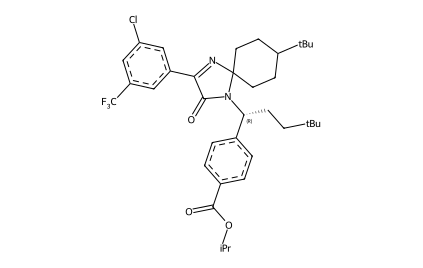 CC(C)OC(=O)c1ccc([C@@H](CCC(C)(C)C)N2C(=O)C(c3cc(Cl)cc(C(F)(F)F)c3)=NC23CCC(C(C)(C)C)CC3)cc1